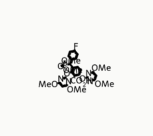 COc1cc(OC)nc(Oc2ccc(C(c3ccc(F)cc3)P(=O)(OC)OC)c(Oc3nc(OC)cc(OC)n3)c2C(=O)O)n1